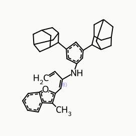 C=C/C(=C\c1oc2ccccc2c1C)Nc1cc(C2C3CC4CC(C3)CC2C4)cc(C2C3CC4CC(C3)CC2C4)c1